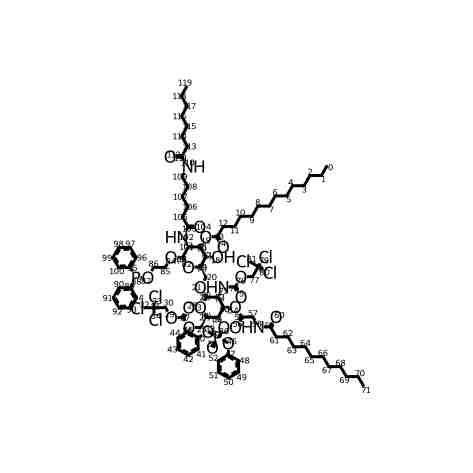 CCCCCCCCCCCCCC(=O)O[C@H]1[C@H](O)[C@@H](CO[C@@H]2O[C@H](COC(=O)OCC(Cl)(Cl)Cl)[C@@H](OP(=O)(Oc3ccccc3)Oc3ccccc3)[C@H](OC(=O)CNC(=O)CCCCCCCCCCC)[C@@H]2NC(=O)OCC(Cl)(Cl)Cl)O[C@H](OCCOP(c2ccccc2)c2ccccc2)[C@H]1NC(=O)CCCCCNC(=O)CCCCCCC